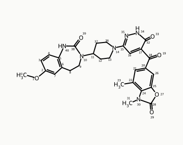 COc1ccc2c(c1)CCN(C1CCN(c3cc(C(=O)c4cc(C)c5c(c4)oc(=O)n5C)c(=O)[nH]n3)CC1)C(=O)N2